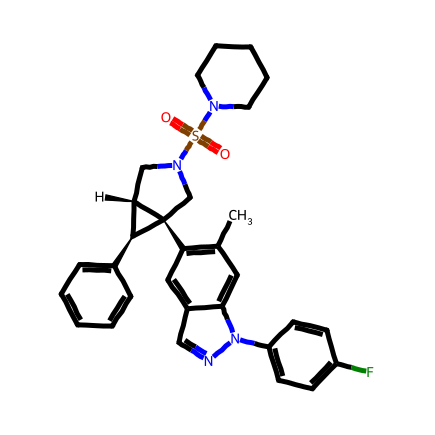 Cc1cc2c(cnn2-c2ccc(F)cc2)cc1[C@]12CN(S(=O)(=O)N3CCCCC3)C[C@H]1[C@@H]2c1ccccc1